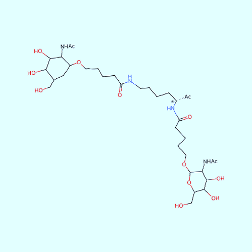 CC(=O)NC1C(OCCCCC(=O)NCCCC[C@@H](NC(=O)CCCCOC2OC(CO)C(O)C(O)C2NC(C)=O)C(C)=O)CC(CO)C(O)C1O